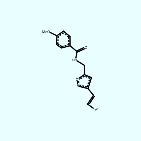 CCC/C=C/c1cc(CNC(=O)c2ccc(OC)cc2)on1